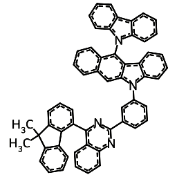 CC1(C)c2ccccc2-c2c(-c3nc(-c4cccc(-n5c6ccccc6c6c(-n7c8ccccc8c8ccccc87)c7ccccc7cc65)c4)nc4ccccc34)cccc21